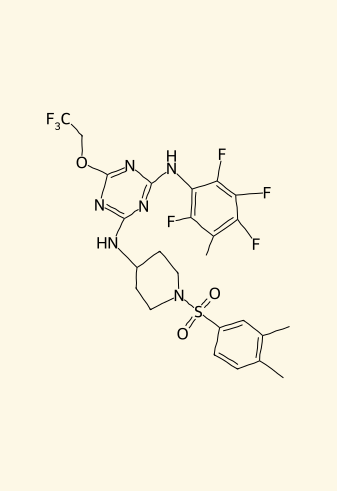 Cc1ccc(S(=O)(=O)N2CCC(Nc3nc(Nc4c(F)c(C)c(F)c(F)c4F)nc(OCC(F)(F)F)n3)CC2)cc1C